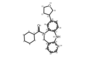 O=C(C1CCCCC1)N1Cc2cccnc2Nc2ccc(C3CCOC3)cc21